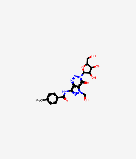 COc1ccc(C(=O)Nc2nn(CO)c3c(=O)n(C4OC(CO)C(O)C4O)nnc23)cc1